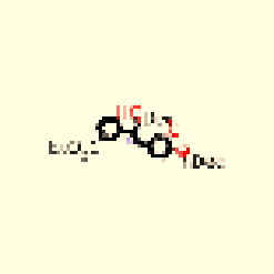 CCCCCCCCCCOc1ccc(/C=C(\CO)c2cccc(C(=O)OCC)c2)cc1OCCCCCCCCCC